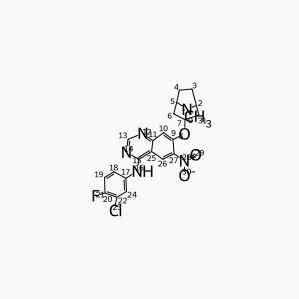 CN1C2CCC1CC(Oc1cc3ncnc(Nc4ccc(F)c(Cl)c4)c3cc1[N+](=O)[O-])C2